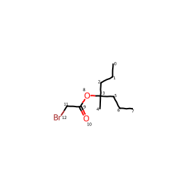 CCCC(C)(CCC)OC(=O)CBr